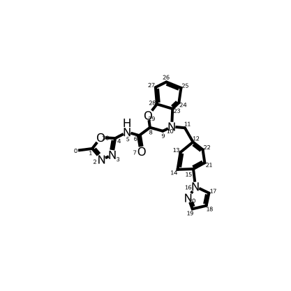 Cc1nnc(NC(=O)C2CN(Cc3ccc(-n4cccn4)cc3)c3ccccc3O2)o1